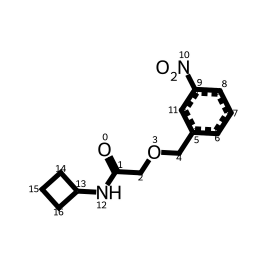 O=C(COCc1cccc([N+](=O)[O-])c1)NC1CCC1